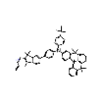 C=C/C=C\C1=C(C)c2ccc(-c3ccc(N(c4ccc(C(C)(C)C)cc4)c4ccc5c(c4)C(C)(C)c4cccc6c4N5c4ccccc4C6(C)C)cc3)cc2C1(C)C